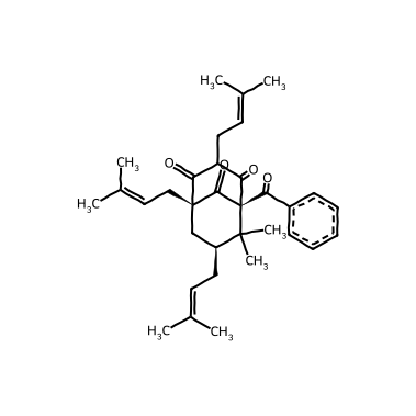 CC(C)=CCC1C(=O)[C@@]2(CC=C(C)C)C[C@H](CC=C(C)C)C(C)(C)[C@@](C(=O)c3ccccc3)(C1=O)C2=O